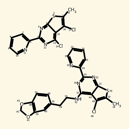 Cc1sc2nc(-c3ccccn3)nc(Cl)c2c1Cl.Cc1sc2nc(-c3ccccn3)nc(NCCc3ccc4c(c3)OCO4)c2c1Cl